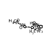 CC(=O)NCCNC(=O)c1ccc(C#Cc2ccc(OC(C)C)c(C(=O)N[C@@H](CO)Cc3c[nH]c4ccccc34)c2)cc1